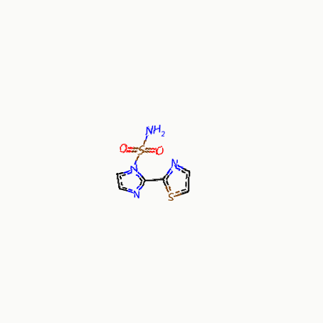 NS(=O)(=O)n1ccnc1-c1nccs1